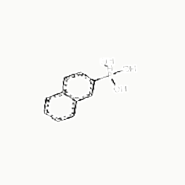 O[PH](O)(O)c1ccc2ccccc2c1